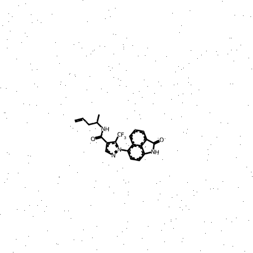 C=CCC(C)NC(=O)c1cnn(-c2ccc3c4c(cccc24)C(=O)N3)c1C(F)(F)F